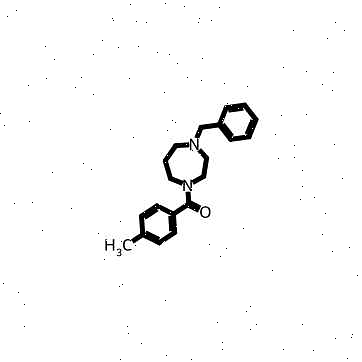 Cc1ccc(C(=O)N2CCCN(Cc3ccccc3)CC2)cc1